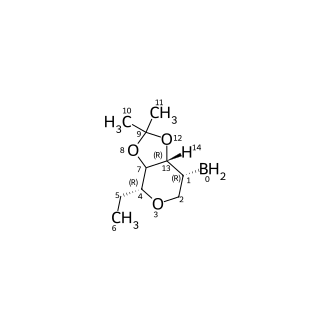 B[C@@H]1CO[C@H](CC)C2OC(C)(C)O[C@@H]21